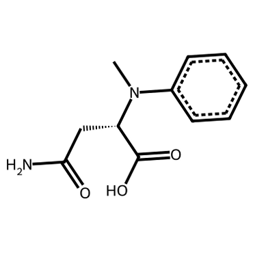 CN(c1ccccc1)[C@@H](CC(N)=O)C(=O)O